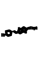 CCCCCCCc1cc2sc(CC[C@H]3CC[C@H](CC)CC3)cc2s1